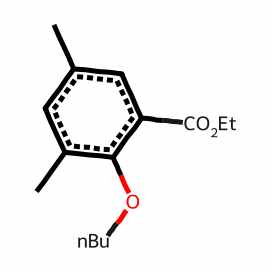 CCCCOc1c(C)cc(C)cc1C(=O)OCC